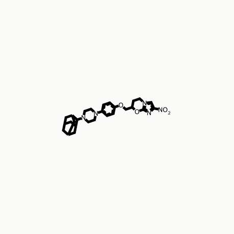 O=[N+]([O-])c1cn2c(n1)OC(COc1ccc(N3CCN(C4C5CC6CC(C5)CC4C6)CC3)cc1)CC2